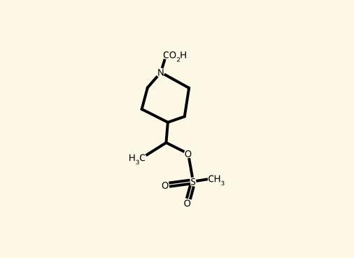 CC(OS(C)(=O)=O)C1CCN(C(=O)O)CC1